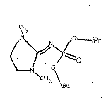 CC(C)OP(=O)(N=C1N(C)CCN1C)OC(C)(C)C